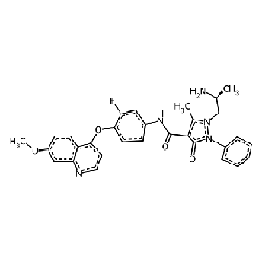 COc1ccc2c(Oc3ccc(NC(=O)c4c(C)n(C[C@H](C)N)n(-c5ccccc5)c4=O)cc3F)ccnc2c1